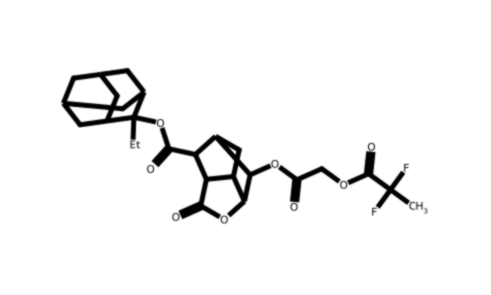 CCC1(OC(=O)C2C3CC4C(OC(=O)C42)C3OC(=O)COC(=O)C(C)(F)F)C2CC3CC(C2)CC1C3